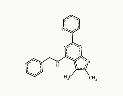 Cc1sc2nc(-c3ccccn3)nc(NCc3ccccc3)c2c1C